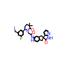 CC1(C)CCC(c2cc(F)cc(CI)c2)N(CC(=O)Nc2ccc3c(c2)CC2(C3)C(=O)Nc3ncccc32)C1=O